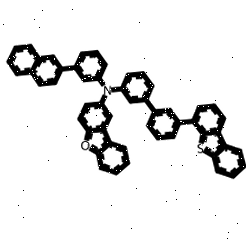 c1cc(-c2cccc(N(c3cccc(-c4ccc5ccccc5c4)c3)c3ccc4oc5ccccc5c4c3)c2)cc(-c2cccc3c2sc2ccccc23)c1